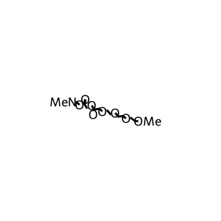 CNCOC(=O)COC(=O)COCCOCCOCCOC